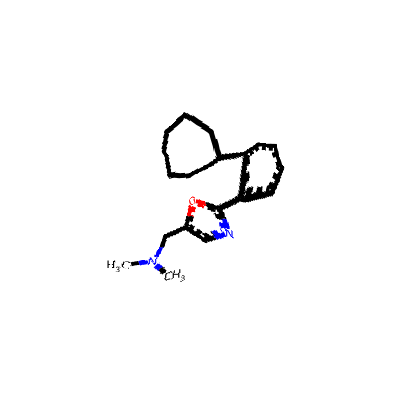 CN(C)Cc1cnc(-c2[c]cccc2C2CCCCCC2)o1